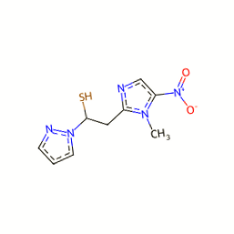 Cn1c([N+](=O)[O-])cnc1CC(S)n1cccn1